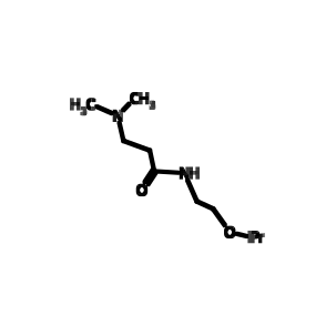 CC(C)OCCNC(=O)CCN(C)C